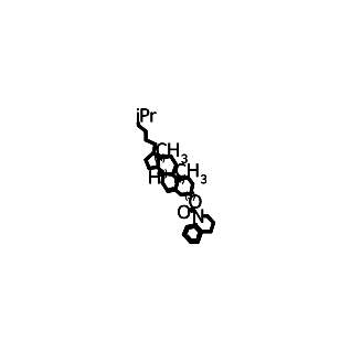 CC(C)CCCCC1CCC2[C@@H]3CC=C4C[C@@H](OC(=O)N5CCCc6ccccc65)CC[C@]4(C)C3CC[C@]12C